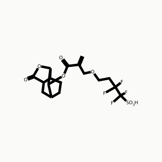 C=C(COCCC(F)(F)C(F)(F)S(=O)(=O)O)C(=O)OC1C2CCC3C(C2)C(=O)OC31